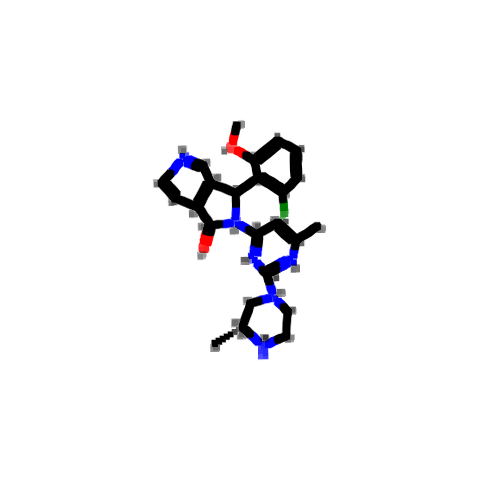 COc1cccc(F)c1C1c2cnccc2C(=O)N1c1cc(C)nc(N2CCN[C@H](C)C2)n1